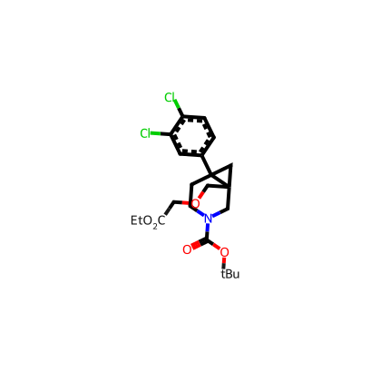 CCOC(=O)COCC12CN(C(=O)OC(C)(C)C)CCC1(c1ccc(Cl)c(Cl)c1)C2